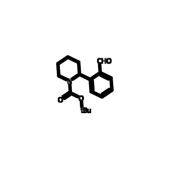 CC(C)(C)OC(=O)N1CCCCC1c1ccccc1C=O